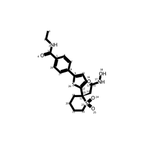 CCNC(=O)c1ccc(-c2ccc([C@@]3(CC(=O)NO)CCCCS3(=O)=O)s2)cc1